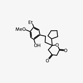 CCc1cc(CCC2(C3CCCC3)CC(=O)CC(=O)O2)c(O)cc1OC